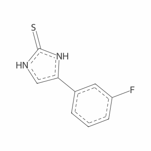 Fc1cccc(-c2c[nH]c(=S)[nH]2)c1